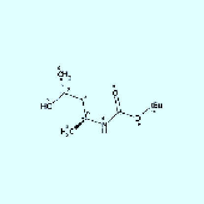 C[C@@H](O)C[C@H](C)NC(=O)OC(C)(C)C